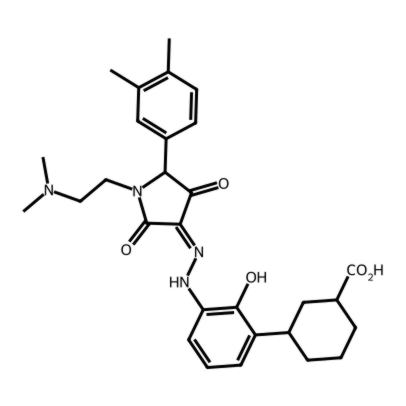 Cc1ccc(C2C(=O)C(=NNc3cccc(C4CCCC(C(=O)O)C4)c3O)C(=O)N2CCN(C)C)cc1C